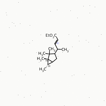 CCOC(=O)/C=C/C(C)C1CC2[C@H](C)[C@]2(C)C1(C)C